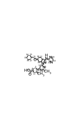 Cc1nc(N2CCN(C(=O)O)C[C@@H]2C)cc(-n2nc(Nc3cnccn3)c3ccc(OCc4ccccc4)cc32)n1